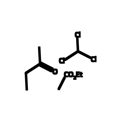 CCC(C)=O.CCOC(C)=O.ClC(Cl)Cl